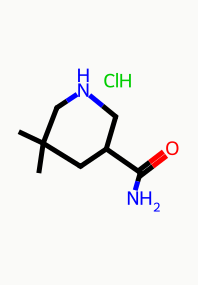 CC1(C)CNCC(C(N)=O)C1.Cl